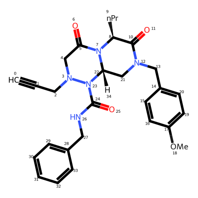 C#CCN1CC(=O)N2[C@@H](CCC)C(=O)N(Cc3ccc(OC)cc3)C[C@@H]2N1C(=O)NCc1ccccc1